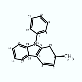 C[C@H]1C=Cc2c(n(-c3ccccc3)c3ccccc23)C1